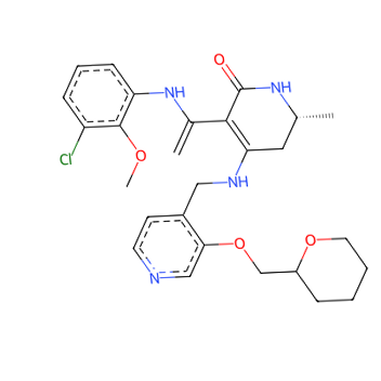 C=C(Nc1cccc(Cl)c1OC)C1=C(NCc2ccncc2OCC2CCCCO2)C[C@@H](C)NC1=O